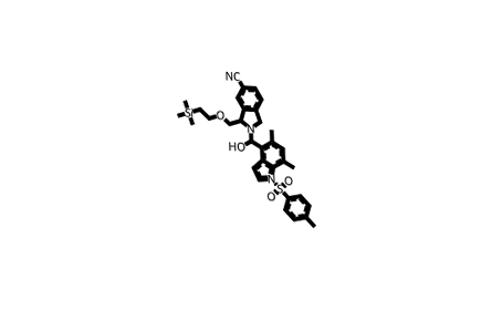 Cc1ccc(S(=O)(=O)n2ccc3c(C(O)N4Cc5ccc(C#N)cc5C4COCC[Si](C)(C)C)c(C)cc(C)c32)cc1